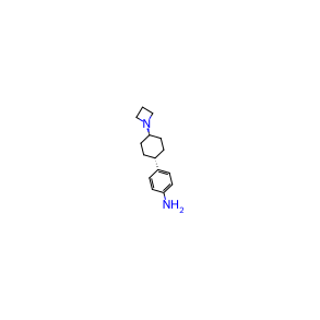 Nc1ccc([C@H]2CC[C@H](N3CCC3)CC2)cc1